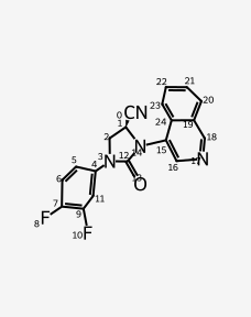 N#C[C@@H]1CN(c2ccc(F)c(F)c2)C(=O)N1c1cncc2ccccc12